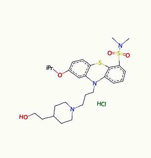 CC(C)Oc1ccc2c(c1)N(CCCN1CCC(CCO)CC1)c1cccc(S(=O)(=O)N(C)C)c1S2.Cl